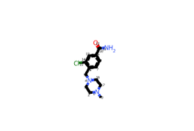 CN1CCN(Cc2ccc(C(N)=O)cc2Cl)CC1